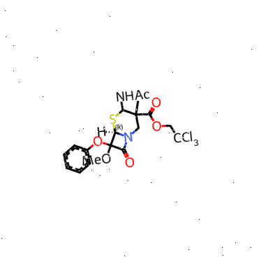 COC1(Oc2ccccc2)C(=O)N2CC(C)(C(=O)OCC(Cl)(Cl)Cl)C(NC(C)=O)S[C@@H]21